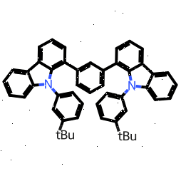 CC(C)(C)c1cccc(-n2c3ccccc3c3cccc(-c4cccc(-c5cccc6c7ccccc7n(-c7cccc(C(C)(C)C)c7)c56)c4)c32)c1